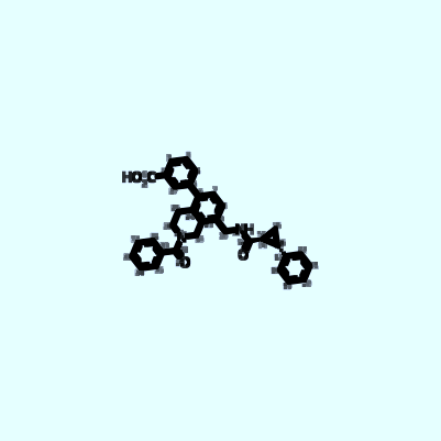 O=C(O)c1cccc(-c2ccc(CNC(=O)[C@H]3C[C@@H]3c3ccccc3)c3c2CCN(C(=O)c2ccccc2)C3)c1